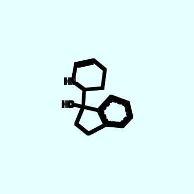 OC1(C2CCC=CN2)CCc2ccccc21